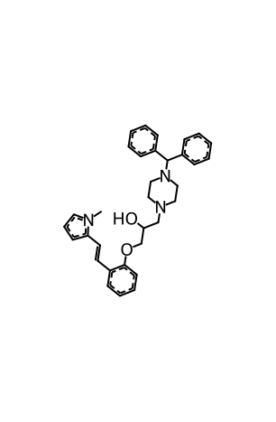 Cn1cccc1C=Cc1ccccc1OCC(O)CN1CCN(C(c2ccccc2)c2ccccc2)CC1